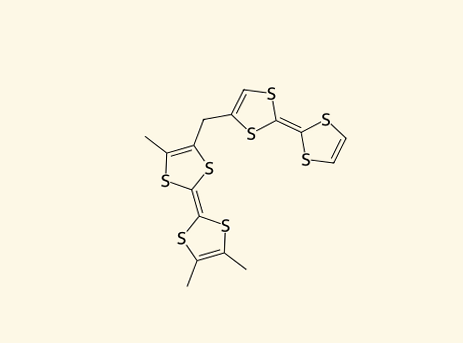 CC1=C(C)SC(=C2SC(C)=C(CC3=CSC(=C4SC=CS4)S3)S2)S1